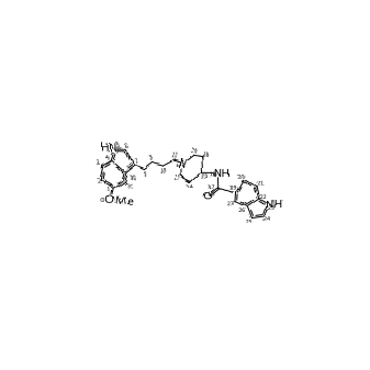 COc1ccc2[nH]cc(CCCCN3CCC(NC(=O)c4ccc5[nH]ccc5c4)CC3)c2c1